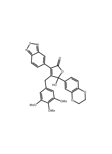 COc1cc(CC2=C(c3ccc4nsnc4c3)C(=O)OC2(O)c2ccc3c(c2)OCCO3)cc(OC)c1OC